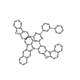 c1ccc(-c2cccc(-c3nc(-c4ccc5oc6ccccc6c5c4)nc(-c4cc5c(cc4-n4c6ccccc6c6cc7ccccc7cc64)oc4ccc6ccccc6c45)n3)c2)cc1